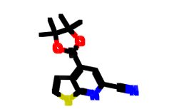 CC1(C)OB(c2cc(C#N)nc3sccc23)OC1(C)C